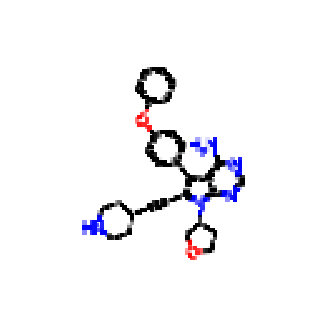 Nc1ncnc2c1c(-c1ccc(Oc3ccccc3)cc1)c(C#CC1CCNCC1)n2C1CCOC1